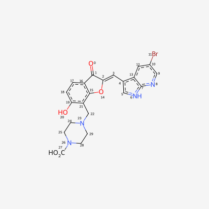 O=C1C(=Cc2c[nH]c3ncc(Br)cc23)Oc2c1ccc(O)c2CN1CCN(C(=O)O)CC1